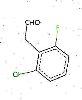 O=[C]Cc1c(F)cccc1Cl